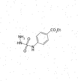 CCOC(=O)c1ccc(NS(=O)(=O)NN)cc1